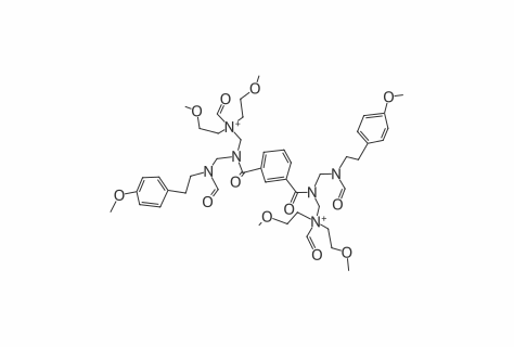 COCC[N+](C=O)(CCOC)CN(CN(C=O)CCc1ccc(OC)cc1)C(=O)c1cccc(C(=O)N(CN(C=O)CCc2ccc(OC)cc2)C[N+](C=O)(CCOC)CCOC)c1